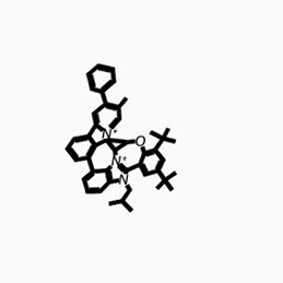 Cc1c[n+]2c(cc1-c1ccccc1)-c1cccc3c1C21C2Oc4c(cc(C(C)(C)C)cc4C(C)(C)C)-c4n(CC(C)C)c5cccc-3c5[n+]4C21